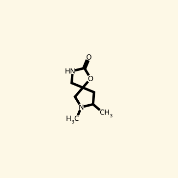 CC1CC2(CNC(=O)O2)CN1C